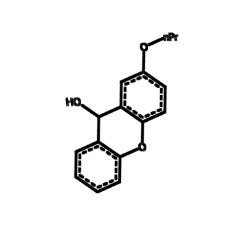 CCCOc1ccc2c(c1)C(O)c1ccccc1O2